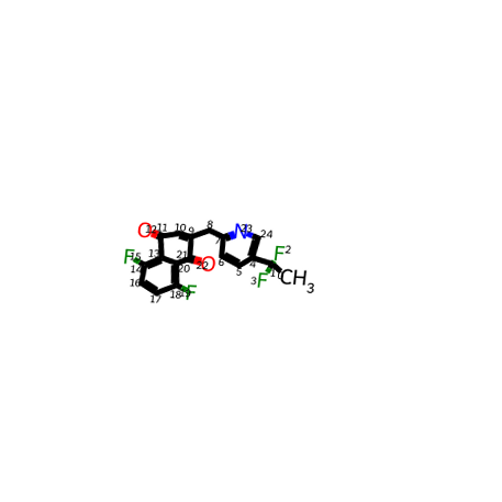 CC(F)(F)c1ccc(CC2=CC(=O)c3c(F)ccc(F)c3C2=O)nc1